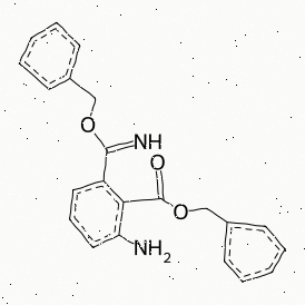 N=C(OCc1ccccc1)c1cccc(N)c1C(=O)OCc1ccccc1